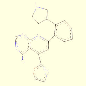 Nc1ncnc2nc(-c3ccccc3C3CCNC3)cc(-c3nccs3)c12